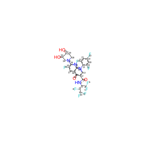 O=C(NC(C(F)F)C(F)C(F)F)c1cn(-c2c(F)cc(F)cc2F)c2nc(N3CCC(O)C(O)C3)c(F)cc2c1=O